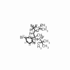 CC(C)(C)[S@@+]([O-])N[C@](C)(c1nc(Br)ccc1F)[C@@H](F)[C@H](O[Si](C)(C)C)C(F)(F)F